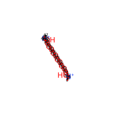 C=CC[N+](C)(C)CC(O)COCCOCCOCCOCCOCCOCCOCCOCCOCCOCC(O)C[N+](C)(C)CC=C